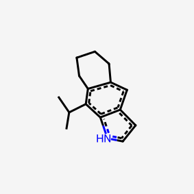 CC(C)c1c2c(cc3cc[nH]c13)CCCC2